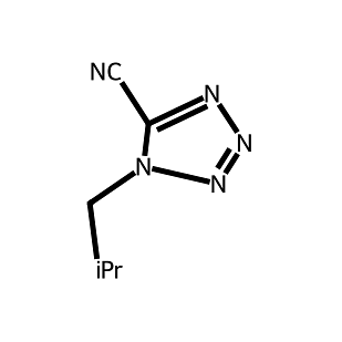 CC(C)Cn1nnnc1C#N